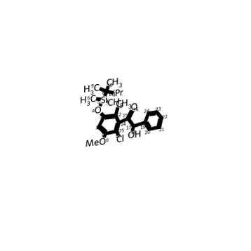 COc1cc(O[Si](C)(C)C(C)(C)C(C)C)c(C)c(C(=O)C(O)c2ccccc2)c1Cl